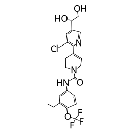 CCc1cc(NC(=O)N2CC=C(c3ncc([C@H](O)CO)cc3Cl)CC2)ccc1OC(F)(F)F